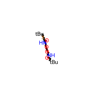 CC(C)(C)CCC(=O)NCCOCCOCCNC(=O)CCSCC(C)(C)C